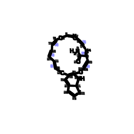 NC(=O)C1=N\C=C2\CC(=N2)O\C=C/C=C/C=C/CC2=C(NC3SC=CC3=C2)O\C=C\1